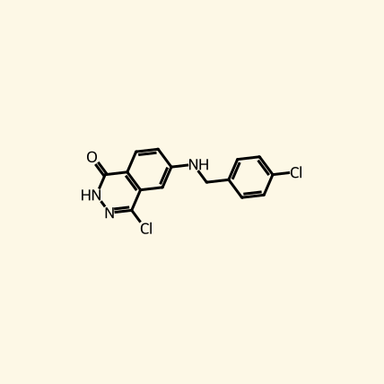 O=c1[nH]nc(Cl)c2cc(NCc3ccc(Cl)cc3)ccc12